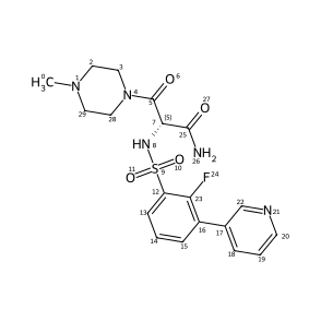 CN1CCN(C(=O)[C@@H](NS(=O)(=O)c2cccc(-c3cccnc3)c2F)C(N)=O)CC1